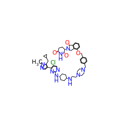 Cn1ncc(-c2nc(N[C@H]3CC[C@H](NCCN4CCN(Cc5ccc(COc6cccc7c6CN(C6CCC(=O)NC6=O)C7=O)cc5)CC4)CC3)ncc2Cl)c1CC1CC1